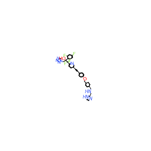 OC(Cn1cnnn1)(c1ccc(F)cc1F)C(F)(F)c1ccc(C#Cc2ccc(OCc3ccc(CNCc4ncc[nH]4)cc3)cc2)cn1